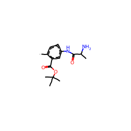 [CH2]c1ccc(NC(=O)C(C)N)cc1C(=O)OC(C)(C)C